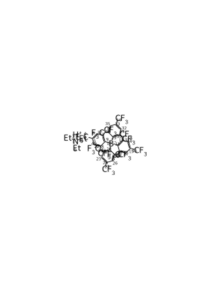 CC[NH+](CC)CC.FC(F)(F)c1cc(C(F)(F)F)c([B-](c2c(C(F)(F)F)cc(C(F)(F)F)cc2C(F)(F)F)(c2c(C(F)(F)F)cc(C(F)(F)F)cc2C(F)(F)F)c2c(C(F)(F)F)cc(C(F)(F)F)cc2C(F)(F)F)c(C(F)(F)F)c1